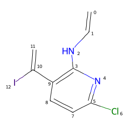 C=CNc1nc(Cl)ccc1C(=C)I